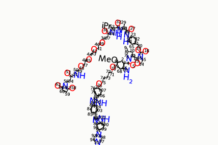 COc1cc(C(=O)N2CC(C)C[C@H]2C2OCCN2C(=O)OCc2ccc(NC(=O)[C@H](C)NC(=O)[C@@H](NC(=O)CCOCCOCCOCCOCCNC(=O)CCN3C(=O)C=CC3=O)C(C)C)cc2)c(N)cc1OCCCCCOc1ccc(-c2nc3ccc(-c4nc5cc(N6CCN(C)CC6)ccc5[nH]4)cc3[nH]2)cc1